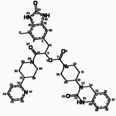 Cc1cc(CC(OC(=O)N2CCC(N3Cc4ccccc4NC3=O)CC2)C(=O)N2CCC(c3ccccn3)CC2)cc2[nH]c(=O)[nH]c12